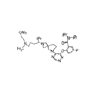 COCCN(C)CCCC(C(C)C)N1CC2(CCN(c3ncnnc3Oc3ccc(F)cc3C(=O)N(C(C)C)C(C)C)C2)C1